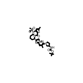 Cc1cc(NS(C)(=O)=O)c(C(=O)N2CCCC[C@H]2c2cn3nc(N4CCC(NC(=O)OC(C)(C)C)C4)c(C)cc3n2)s1